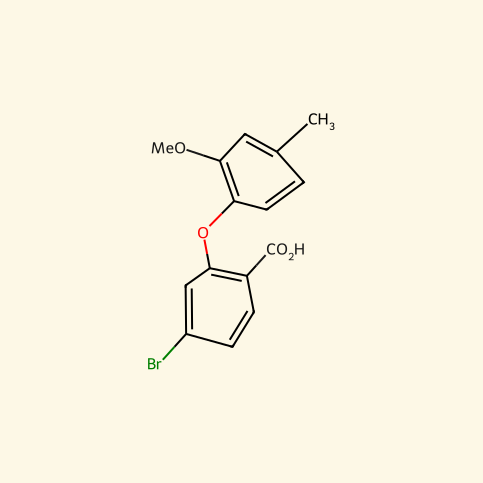 COc1cc(C)ccc1Oc1cc(Br)ccc1C(=O)O